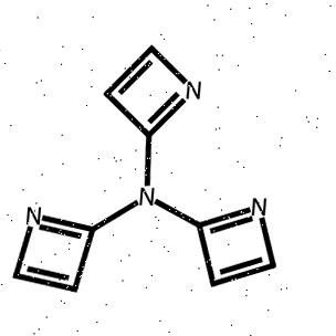 C1=CC(N(C2=NC=C2)C2=NC=C2)=N1